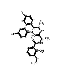 COc1ccnc(C(=O)N[C@@H](C)C(=O)O[C@@H](C)[C@H](Oc2ccc(F)cc2)c2ccc(F)cc2)c1O